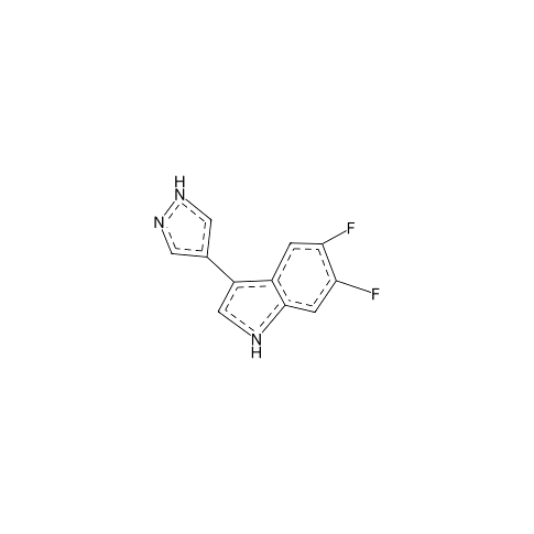 Fc1cc2[nH]cc(-c3cn[nH]c3)c2cc1F